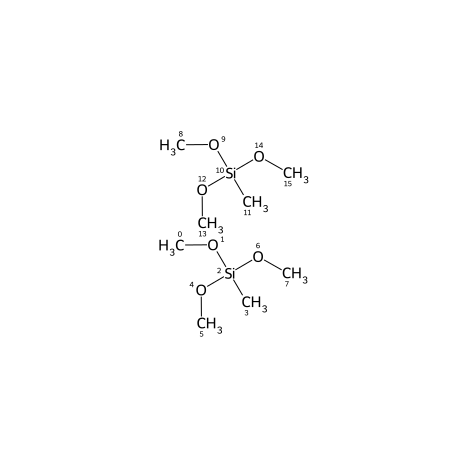 CO[Si](C)(OC)OC.CO[Si](C)(OC)OC